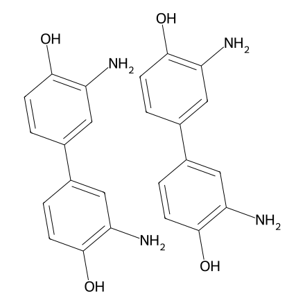 Nc1cc(-c2ccc(O)c(N)c2)ccc1O.Nc1cc(-c2ccc(O)c(N)c2)ccc1O